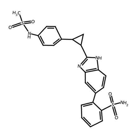 CS(=O)(=O)Nc1ccc(C2CC2c2nc3cc(-c4ccccc4S(N)(=O)=O)ccc3[nH]2)cc1